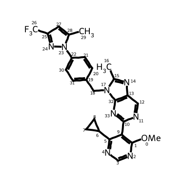 COc1ncnc(C2CC2)c1-c1ncc2nc(C)n(Cc3ccc(-n4nc(C(F)(F)F)cc4C)cc3)c2n1